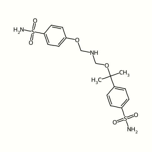 CC(C)(OCNCOc1ccc(S(N)(=O)=O)cc1)c1ccc(S(N)(=O)=O)cc1